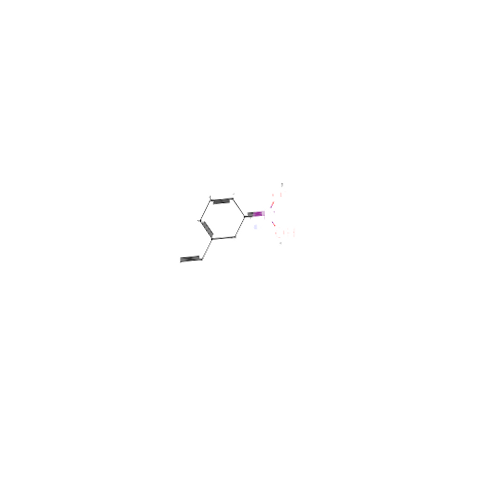 C=CC1=CC=C/C(=[P+](\[O-])O)C1